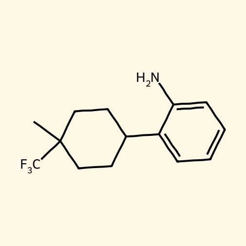 CC1(C(F)(F)F)CCC(c2ccccc2N)CC1